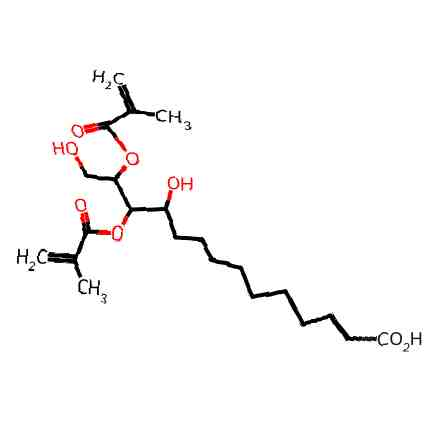 C=C(C)C(=O)OC(CO)C(OC(=O)C(=C)C)C(O)CCCCCCCCCC(=O)O